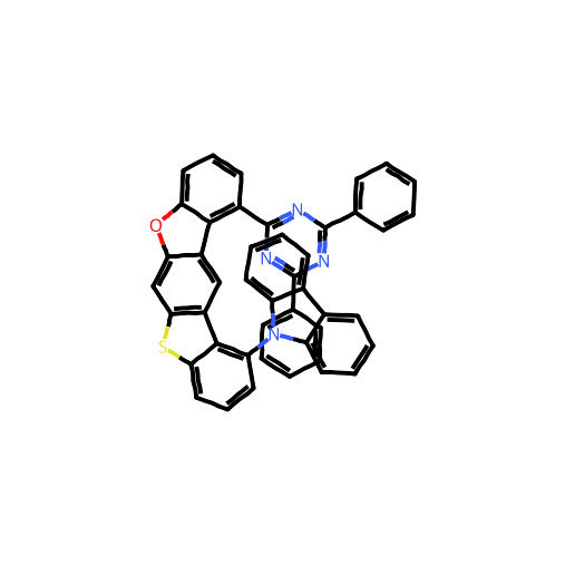 c1ccc(-c2nc(-c3ccccc3)nc(-c3cccc4oc5cc6sc7cccc(-n8c9ccccc9c9ccccc98)c7c6cc5c34)n2)cc1